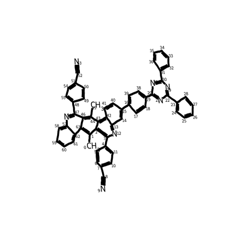 Cc1c2c(-c3ccc(C#N)cc3)nc3cc(-c4ccc(-c5nc(-c6ccccc6)nc(-c6ccccc6)n5)cc4)ccc3c2c(C)c2c(-c3ccc(C#N)cc3)nc3ccccc3c12